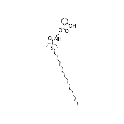 CCC=CCC=CCC=CCC=CCC=CCCCCSC(CC)(CC)C(=O)NCCOC(=O)c1ccccc1O